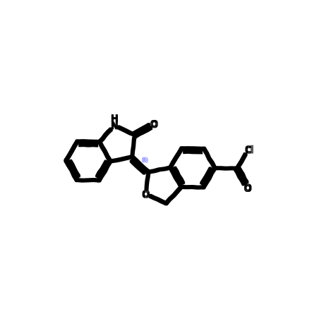 O=C1Nc2ccccc2/C1=C1\OCc2cc(C(=O)Cl)ccc21